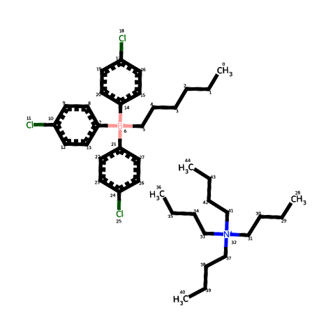 CCCCCC[B-](c1ccc(Cl)cc1)(c1ccc(Cl)cc1)c1ccc(Cl)cc1.CCCC[N+](CCCC)(CCCC)CCCC